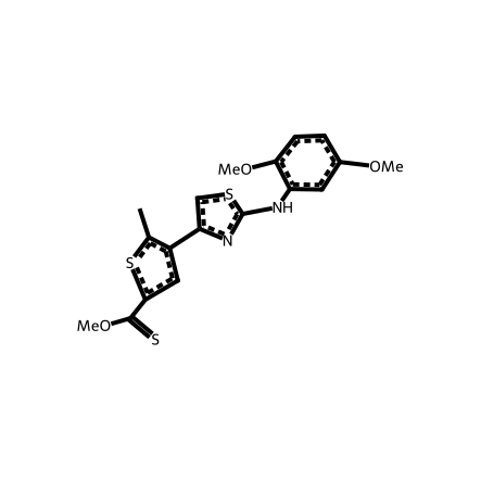 COC(=S)c1cc(-c2csc(Nc3cc(OC)ccc3OC)n2)c(C)s1